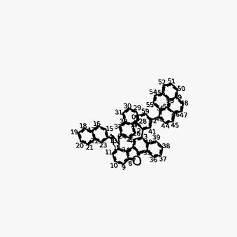 c1cc(-c2cc3c(oc4cccc(N(c5ccc6ccccc6c5)c5ccc6ccccc6c5)c43)c3ccccc23)cc(-c2ccc3ccc4cccc5ccc2c3c45)c1